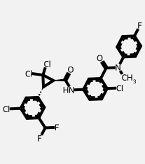 CN(C(=O)c1cc(NC(=O)[C@H]2[C@H](c3cc(Cl)cc(C(F)F)c3)C2(Cl)Cl)ccc1Cl)c1ccc(F)cc1